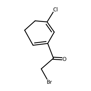 O=C(CBr)C1=CCCC(Cl)=C1